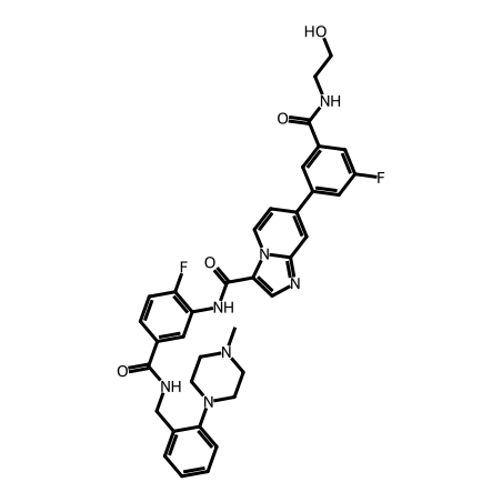 CN1CCN(c2ccccc2CNC(=O)c2ccc(F)c(NC(=O)c3cnc4cc(-c5cc(F)cc(C(=O)NCCO)c5)ccn34)c2)CC1